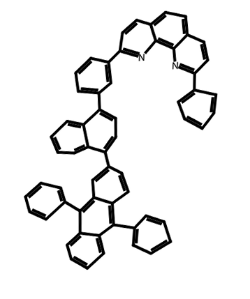 c1ccc(-c2ccc3ccc4ccc(-c5cccc(-c6ccc(-c7ccc8c(-c9ccccc9)c9ccccc9c(-c9ccccc9)c8c7)c7ccccc67)c5)nc4c3n2)cc1